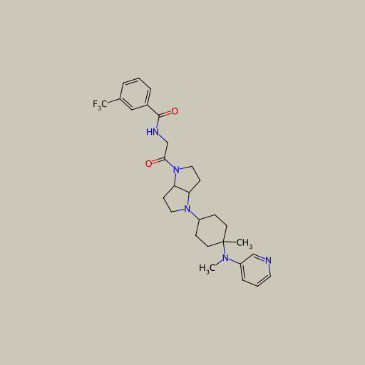 CN(c1cccnc1)C1(C)CCC(N2CCC3C2CCN3C(=O)CNC(=O)c2cccc(C(F)(F)F)c2)CC1